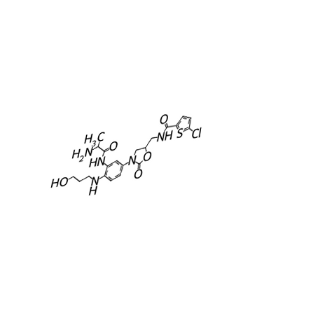 CC(N)C(=O)Nc1cc(N2CC(CNC(=O)c3ccc(Cl)s3)OC2=O)ccc1NCCCO